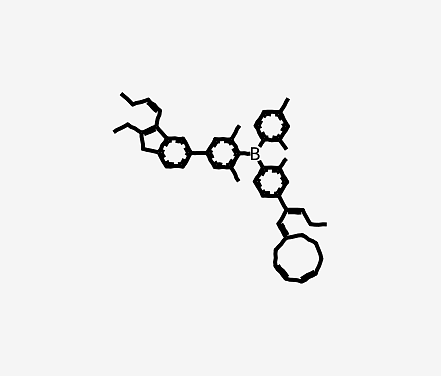 CC/C=C\C1=C(CC)Cc2ccc(-c3cc(C)c(B(c4ccc(C)cc4C)c4ccc(C(/C=C5/C/C=C\C=C/CCC5)=C/CC)cc4C)c(C)c3)cc21